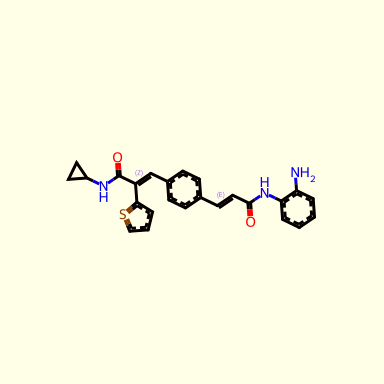 Nc1ccccc1NC(=O)/C=C/c1ccc(/C=C(/C(=O)NC2CC2)c2cccs2)cc1